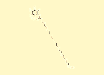 CCCOCCOCCOCCOCCOCCOCCOCCOCCC(=O)Oc1c(C)c(F)c(F)c(F)c1F